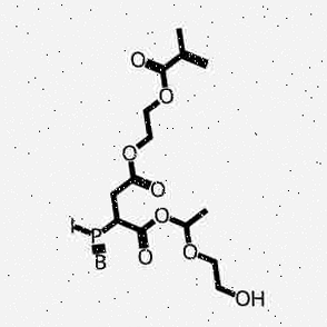 B#P(I)C(CC(=O)OCCOC(=O)C(=C)C)C(=O)OC(C)OCCO